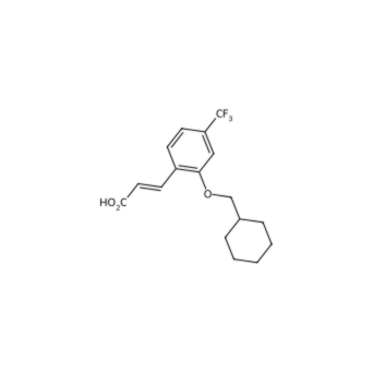 O=C(O)/C=C/c1ccc(C(F)(F)F)cc1OCC1CCCCC1